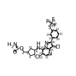 NS(=O)OCC1CCC(Nc2c(Cl)cnc3c(Cl)c(-c4cccc(SC(F)(F)F)c4)nn23)C1